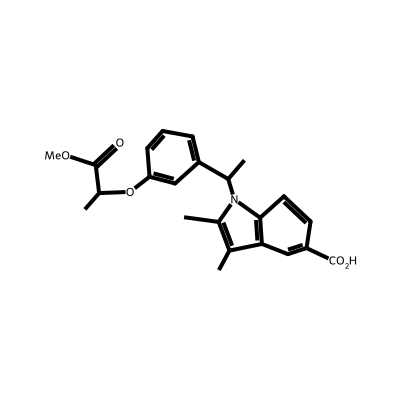 COC(=O)C(C)Oc1cccc(C(C)n2c(C)c(C)c3cc(C(=O)O)ccc32)c1